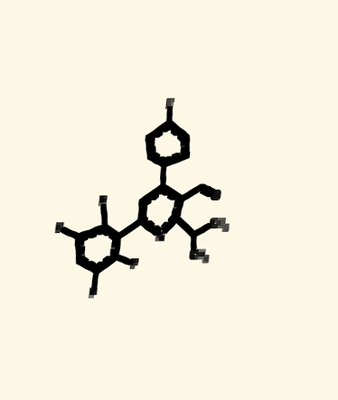 CC(C)c1nc(-c2c(F)c(F)cc(F)c2F)cc(-c2ccc(F)cc2)c1C=O